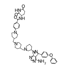 Nc1ncnc2c1c(-c1ccc(Oc3ccccc3)cc1)nn2C1CCCN(CC2CCN(CC3CCN(c4ccc(C(=O)NC5CCC(=O)NC5=O)cc4)CC3)CC2)C1